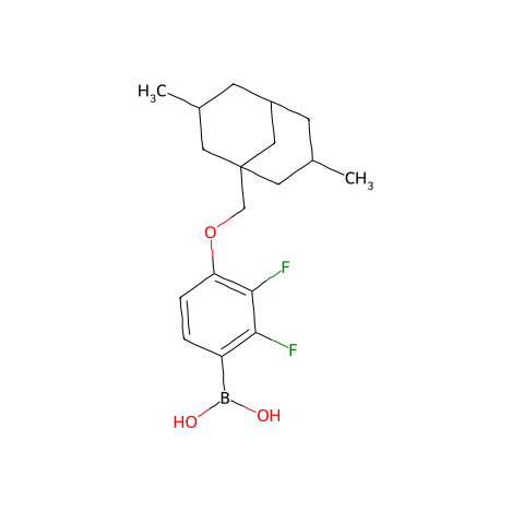 CC1CC2CC(C)CC(COc3ccc(B(O)O)c(F)c3F)(C1)C2